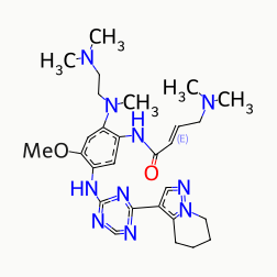 COc1cc(N(C)CCN(C)C)c(NC(=O)/C=C/CN(C)C)cc1Nc1ncnc(-c2cnn3c2CCCC3)n1